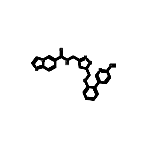 O=C(NCC1=NOC(COc2ccccc2-c2ccc(O)nc2)C1)c1ccc2nccn2c1